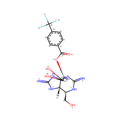 N=C1N[C@H]2[C@H](CO)NC(=N)N3C[C@H](OC(=O)c4ccc(C(F)(F)F)cc4)C(O)(O)C23N1